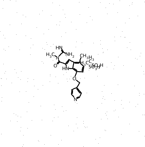 CS(=O)(=O)O.CS(=O)(=O)O.Cc1ccc(OCc2ccncc2)c2[nH]c(C(=O)N(C)C(=N)N)cc12